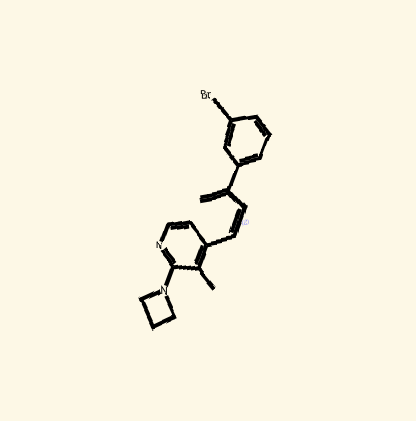 C=C(/C=C\c1ccnc(N2CCC2)c1C)c1cccc(Br)c1